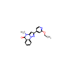 CCOc1cc(-c2cc3n(C)c(=O)c4ccccc4n3n2)ccn1